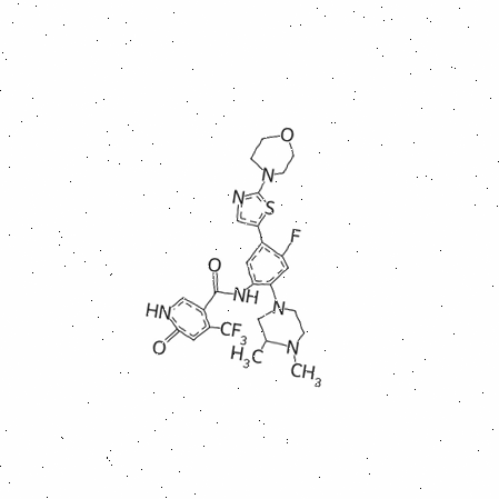 CC1CN(c2cc(F)c(-c3cnc(N4CCOCC4)s3)cc2NC(=O)c2c[nH]c(=O)cc2C(F)(F)F)CCN1C